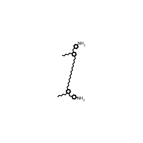 CCCCCc1cc(CCCCCCCCCCCCCCCCc2ccc(Cc3ccc(N)cc3)c(CCCCC)c2)ccc1Cc1ccc(N)cc1